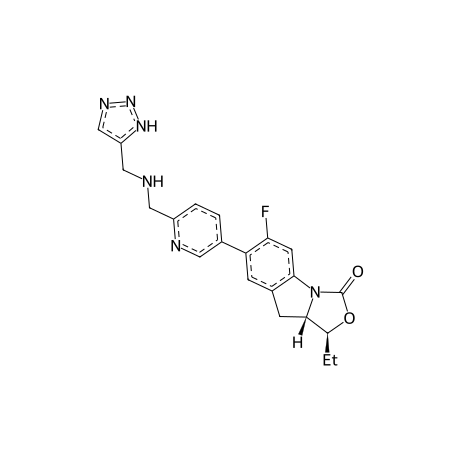 CC[C@@H]1OC(=O)N2c3cc(F)c(-c4ccc(CNCc5cnn[nH]5)nc4)cc3C[C@@H]12